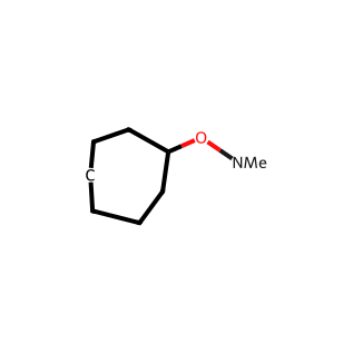 CNOC1CCCCCC1